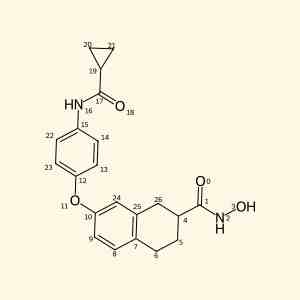 O=C(NO)C1CCc2ccc(Oc3ccc(NC(=O)C4CC4)cc3)cc2C1